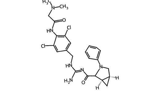 CN(C)CC(=O)Nc1c(Cl)cc(CNC(N)=NC(=O)C2[C@@H]3C[C@@H]3CN2c2ccccc2)cc1Cl